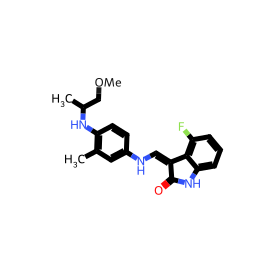 COCC(C)Nc1ccc(NC=C2C(=O)Nc3cccc(F)c32)cc1C